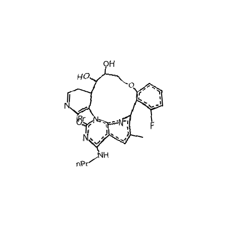 CCCNc1nc(=O)n2c3nc(c(C)cc13)-c1c(F)cccc1OCC(O)C(O)C1CC=NC(C(C)C)=C12